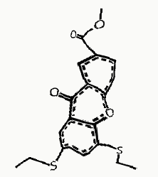 CCSc1cc(SCC)c2oc3ccc(C(=O)OC)cc3c(=O)c2c1